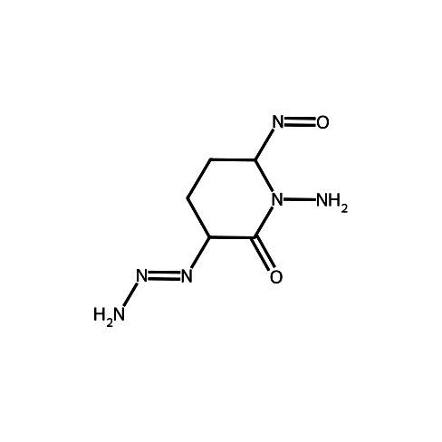 NN=NC1CCC(N=O)N(N)C1=O